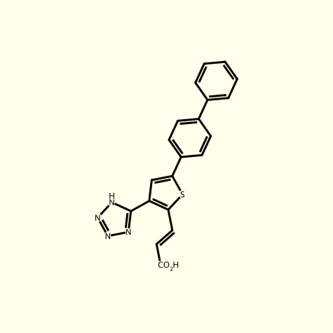 O=C(O)C=Cc1sc(-c2ccc(-c3ccccc3)cc2)cc1-c1nnn[nH]1